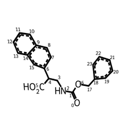 O=C(NCC(C(=O)O)c1ccc2ccccc2c1)OCc1ccccc1